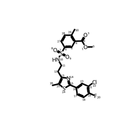 COC(=O)c1cc(S(=O)(=O)NCCc2nc(-c3ccc(F)c(Cl)c3)sc2C)ccc1C